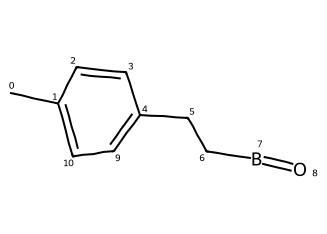 Cc1ccc(CCB=O)cc1